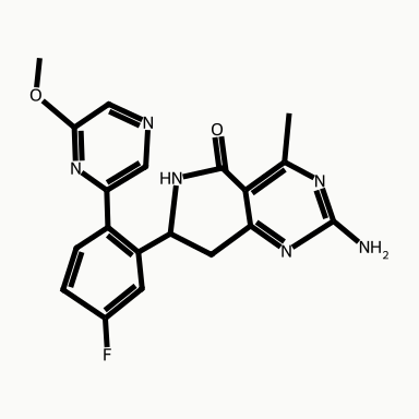 COc1cncc(-c2ccc(F)cc2C2Cc3nc(N)nc(C)c3C(=O)N2)n1